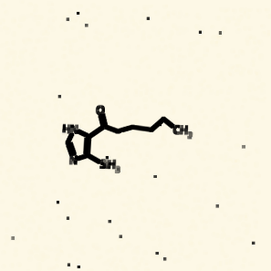 CCCCCC(=O)c1[nH]cnc1[SiH3]